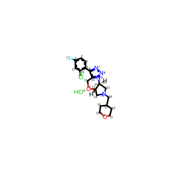 Cl.Fc1ccc(-c2nnn3c2CO[C@H]2CN(CC4CCOCC4)C[C@@H]23)c(Cl)c1